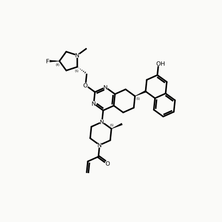 C=CC(=O)N1CCN(c2nc(OC[C@@H]3C[C@@H](F)CN3C)nc3c2CC[C@H](C2CC(O)=Cc4ccccc42)C3)[C@@H](C)C1